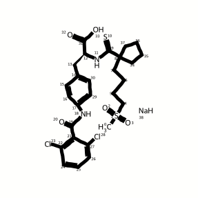 CS(=O)(=O)CCCCC1(C(=S)N[C@@H](Cc2ccc(NC(=O)c3c(Cl)cccc3Cl)cc2)C(=O)O)CCCC1.[NaH]